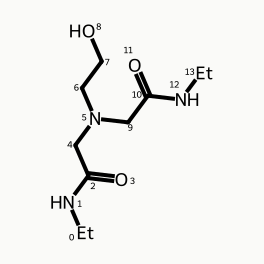 CCNC(=O)CN(CCO)CC(=O)NCC